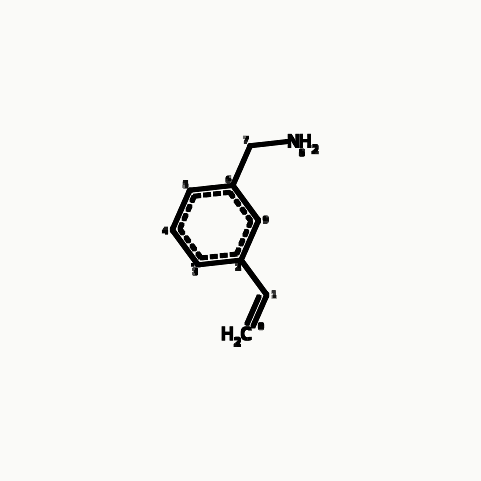 C=Cc1[c]ccc(CN)c1